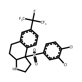 O=S(=O)(c1ccc(Cl)c(Cl)c1)C12CCNC1CCc1cc(C(F)(C(F)(F)F)C(F)(F)F)ccc12